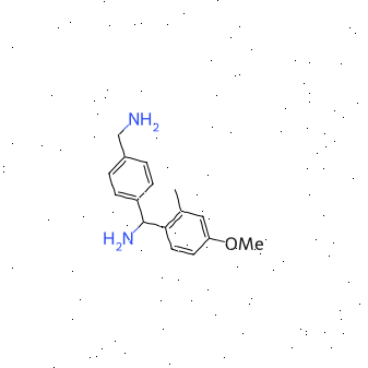 COc1ccc(C(N)c2ccc(CN)cc2)c(C)c1